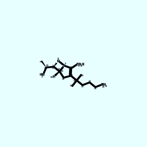 C[C@@H](O)[C@@H]1ON2C(C(=O)O)=C(C(C)(C)CCCN)C[C@H]12